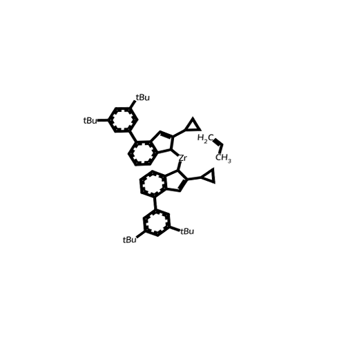 C=CC.CC(C)(C)c1cc(-c2cccc3c2C=C(C2CC2)[CH]3[Zr][CH]2C(C3CC3)=Cc3c(-c4cc(C(C)(C)C)cc(C(C)(C)C)c4)cccc32)cc(C(C)(C)C)c1